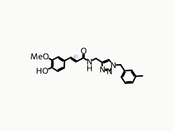 COc1cc(/C=C/C(=O)NCc2cn(Cc3cccc(C)c3)nn2)ccc1O